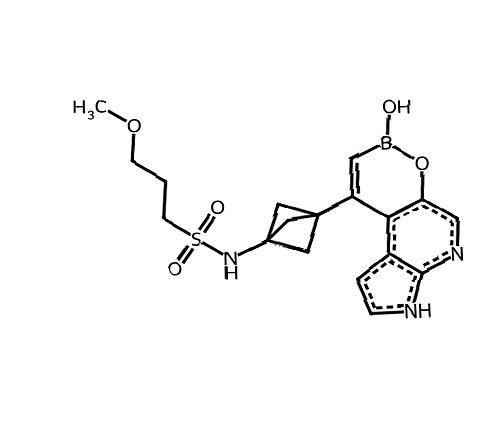 COCCCS(=O)(=O)NC12CC(C3=CB(O)Oc4cnc5[nH]ccc5c43)(C1)C2